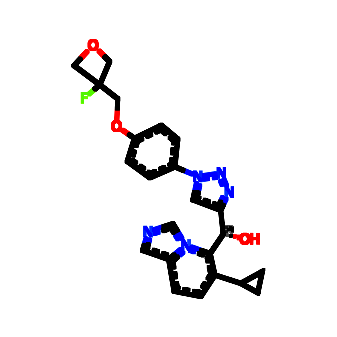 O[C@@H](c1cn(-c2ccc(OCC3(F)COC3)cc2)nn1)c1c(C2CC2)ccc2cncn12